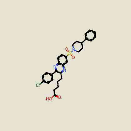 O=C(O)CCCCc1nc2cc(S(=O)(=O)N3CCC(c4ccccc4)CC3)ccc2nc1-c1ccc(Cl)cc1